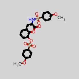 COc1ccc(S(=O)(=O)Nc2cc3cccc(OS(=O)(=O)c4ccc(OC)cc4)c3oc2=O)cc1